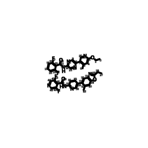 CCOc1cc(C)c(-c2cnc(NC(=O)c3c(F)cccc3F)cn2)cn1.CCc1nc2cc(-c3ccc(NC(=O)c4c(F)cncc4F)nc3)c(C)cc2o1